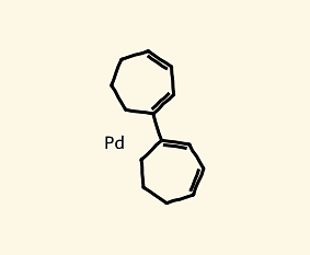 C1=CCCCC(C2=CC=CCCC2)=C1.[Pd]